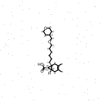 CC1=C(C)C[C@]2(CCCCCCOCC3CCOCC3)[C@H](C1)[C@H]2C(=O)O